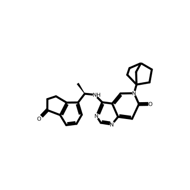 C[C@@H](Nc1ncnc2cc(=O)n(C34CCC(CC3)C4)cc12)c1cccc2c1CCC2=O